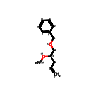 C=CC[C@H](COCc1ccccc1)OCCC